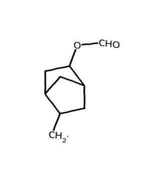 [CH2]C1CC2CC1CC2OC=O